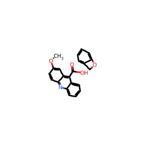 COc1ccc2nc3ccccc3c(C(=O)O)c2c1.c1ccc2c(c1)CO2